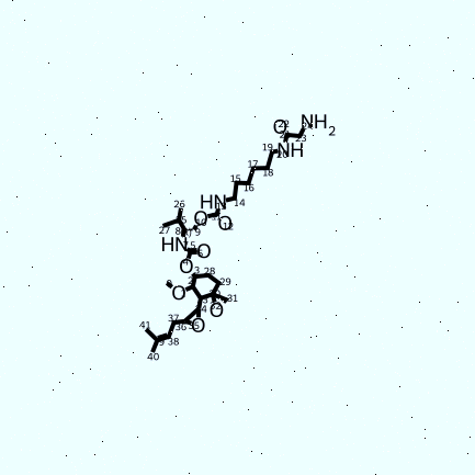 COC1C(OC(=O)N[C@@H](COC(=O)NCCCCCCNC(=O)CN)C(C)C)CCC2(CO2)C1C1OC1CC=C(C)C